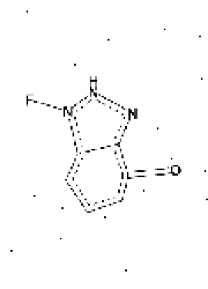 O=c1cccc2n(F)[nH]nc1-2